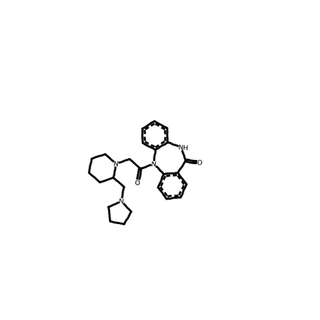 O=C1Nc2ccccc2N(C(=O)CN2CCCCC2CN2CCCC2)c2ccccc21